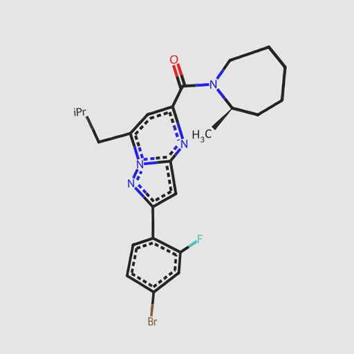 CC(C)Cc1cc(C(=O)N2CCCCC[C@H]2C)nc2cc(-c3ccc(Br)cc3F)nn12